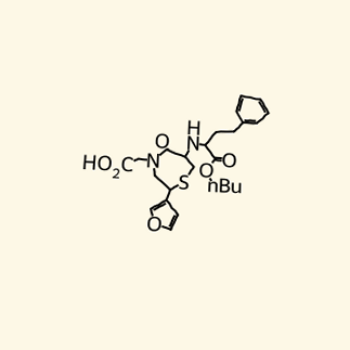 CCCCOC(=O)C(CCc1ccccc1)NC1CSC(c2ccoc2)CN(CC(=O)O)C1=O